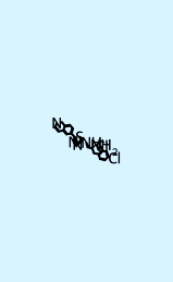 N[C@H](CNc1nnc(-c2ccc3cnccc3c2)s1)Cc1ccc(Cl)cc1Cl